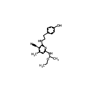 CCOC(C)Nc1cc(C)c(C#N)c(NCCc2ccc(O)cc2)n1